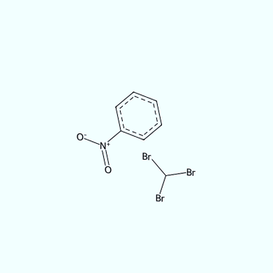 BrC(Br)Br.O=[N+]([O-])c1ccccc1